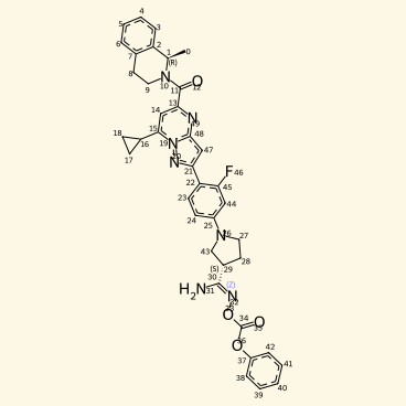 C[C@@H]1c2ccccc2CCN1C(=O)c1cc(C2CC2)n2nc(-c3ccc(N4CC[C@H](/C(N)=N/OC(=O)Oc5ccccc5)C4)cc3F)cc2n1